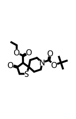 CCOC(=O)C1C(=O)CSC12CCN(C(=O)OC(C)(C)C)CC2